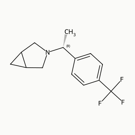 C[C@H](c1ccc(C(F)(F)F)cc1)N1CC2CC2C1